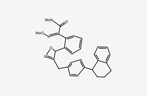 CNC(=O)C(=NOC)c1ccccc1C1ON=C1Cc1ccc(C2CCCc3ccccc32)cc1